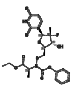 CCOC(=O)[C@H](C)N(OC[C@H]1O[C@@H](n2ccc(=O)[nH]c2=O)[C@](C)(F)[C@@H]1O)[PH](=O)Oc1ccccc1